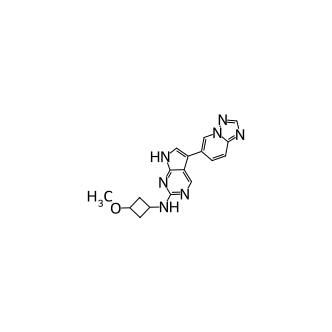 COC1CC(Nc2ncc3c(-c4ccc5ncnn5c4)c[nH]c3n2)C1